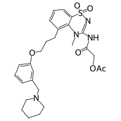 CC(=O)OCC(=O)NC1=NS(=O)(=O)c2cccc(CCCOc3cccc(CN4CCCCC4)c3)c2N1C